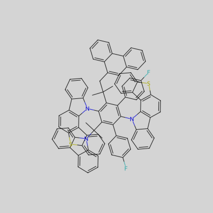 CC(C)(Cc1cc2ccccc2c2ccccc12)c1c(-c2ccc(F)cc2)c(-n2c3ccccc3c3ccc4sc5ccccc5c4c32)c(-c2ccc(F)cc2)c(C(C)(C)n2c3ccccc3c3ccccc32)c1-n1c2ccccc2c2ccc3sc4ccccc4c3c21